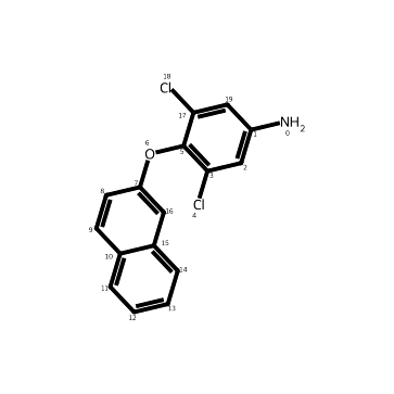 Nc1cc(Cl)c(Oc2ccc3ccccc3c2)c(Cl)c1